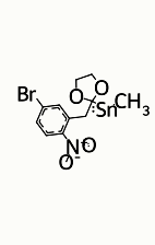 [CH3][Sn][C]1(Cc2cc(Br)ccc2[N+](=O)[O-])OCCO1